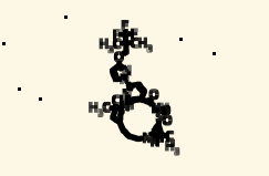 Cc1nn2c(C)c1S(=O)(=O)NC(=O)c1ccc(-n3ccc(OCC(C)(C)C(F)(F)F)n3)nc1N1CC(CCC2)CC1(C)C